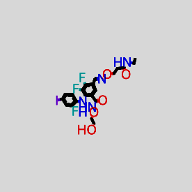 CCNC(=O)CCON=Cc1cc(C(=O)NOCCO)c(Nc2ccc(I)cc2F)c(F)c1F